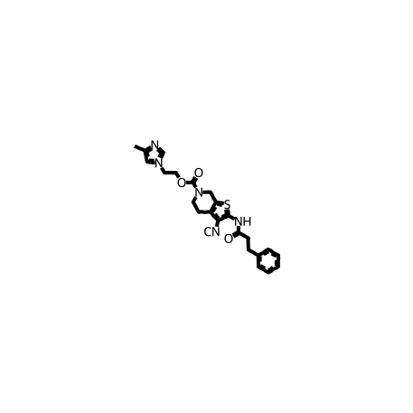 Cc1cn(CCOC(=O)N2CCc3c(sc(NC(=O)CCc4ccccc4)c3C#N)C2)cn1